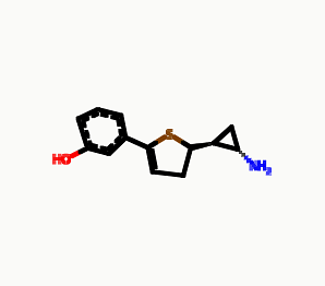 N[C@H]1C[C@@H]1C1CC=C(c2cccc(O)c2)S1